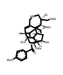 CC[C@@]1(COC)CNCC2=C[C@@H]3[C@H](OC)[C@H]1C2([C@@H](C)OC)C1C[C@]2(O)[C@@H](OC)C[C@@]3(OC(C)=O)C1[C@H]2OC(=O)c1ccc(OC)cc1